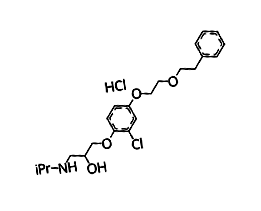 CC(C)NCC(O)COc1ccc(OCCOCCc2ccccc2)cc1Cl.Cl